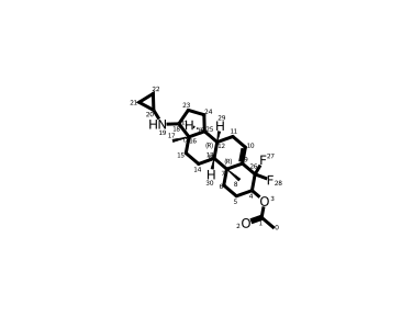 CC(=O)OC1CC[C@@]2(C)C(=CC[C@@H]3[C@H]2CC[C@]2(C)C(NC4CC4)CC[C@@H]32)C1(F)F